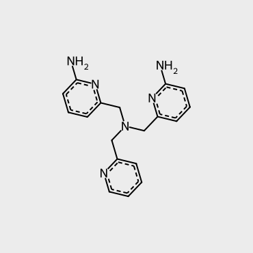 Nc1cccc(CN(Cc2ccccn2)Cc2cccc(N)n2)n1